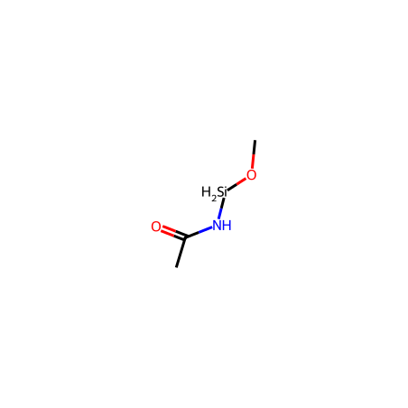 CO[SiH2]NC(C)=O